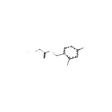 CCOC(=O)CC(=O)OCc1ccc(Br)cc1[N+](=O)[O-]